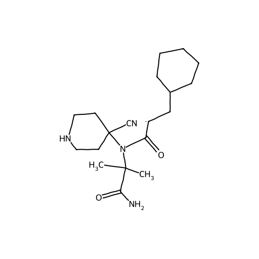 CC(C)(C(N)=O)N(C(=O)[CH]CC1CCCCC1)C1(C#N)CCNCC1